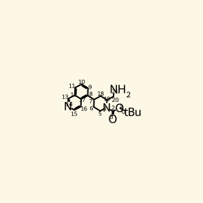 CC(C)(C)OC(=O)N1CCC(c2cccc3cnccc23)CC1CN